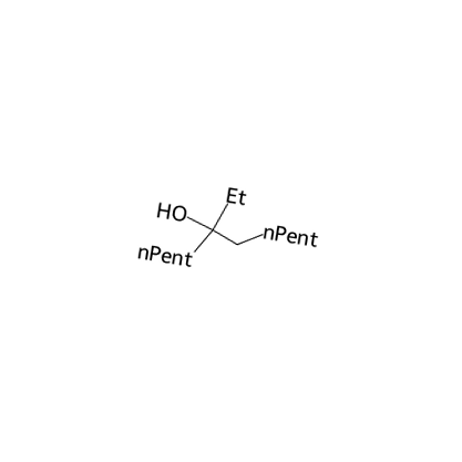 CCCCCCC(O)(CC)CCCCC